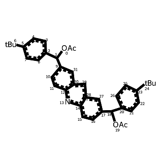 CC(=O)OC(c1ccc(C(C)(C)C)cc1)c1ccc2nc3ccc(C(OC(C)=O)c4ccc(C(C)(C)C)cc4)cc3cc2c1